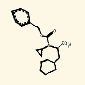 O=C(O)[C@H](CC1CCCCC1)N(C(=O)OCc1ccccc1)C1CC1